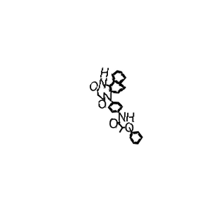 CC(Oc1ccccc1)C(=O)Nc1ccc(N2C(=O)CC(=O)Nc3c2ccc2ccccc32)cc1